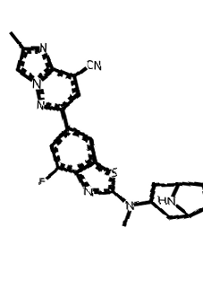 Cc1cn2nc(-c3cc(F)c4nc(N(C)C5CC6CCC(C5)N6)sc4c3)cc(C#N)c2n1